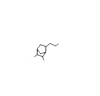 CC1C2CC(CCS(=O)(=O)O)C(C2)C1C